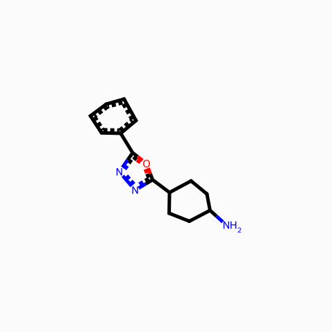 NC1CCC(c2nnc(-c3ccccc3)o2)CC1